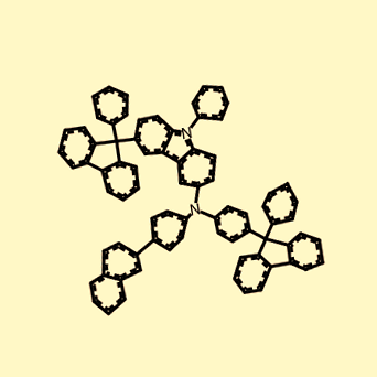 c1ccc(-n2c3ccc(N(c4ccc(-c5ccc6ccccc6c5)cc4)c4ccc(C5(c6ccccc6)c6ccccc6-c6ccccc65)cc4)cc3c3cc(C4(c5ccccc5)c5ccccc5-c5ccccc54)ccc32)cc1